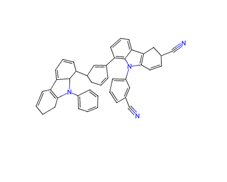 N#Cc1cccc(-n2c3c(c4cccc(C5=CC(C6C=CC=C7C8=C(CCC=C8)N(c8ccccc8)C76)CC=C5)c42)CC(C#N)C=C3)c1